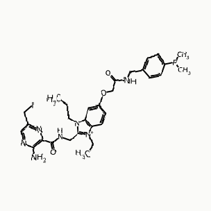 CCCn1c(CNC(=O)c2nc(CI)cnc2N)[n+](CC)c2ccc(OCC(=O)NCc3ccc(P(C)C)cc3)cc21